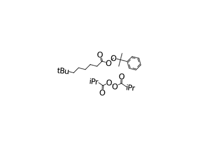 CC(C)(C)CCCCCC(=O)OOC(C)(C)c1ccccc1.CC(C)C(=O)OOC(=O)C(C)C